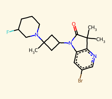 CC1(C)C(=O)N(C2CC(C)(N3CCCC(F)C3)C2)c2cc(Br)cnc21